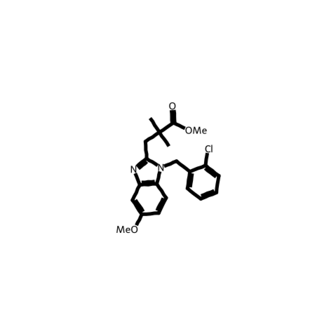 COC(=O)C(C)(C)Cc1nc2cc(OC)ccc2n1Cc1ccccc1Cl